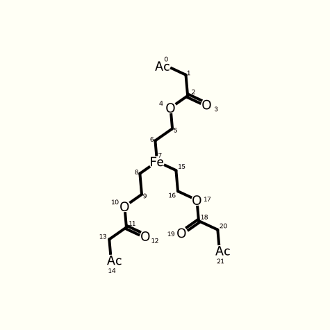 CC(=O)CC(=O)OC[CH2][Fe]([CH2]COC(=O)CC(C)=O)[CH2]COC(=O)CC(C)=O